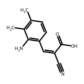 Cc1ccc(C=C(C#N)C(=O)O)c(N)c1C